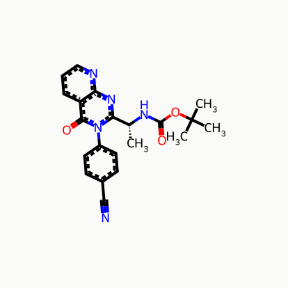 C[C@@H](NC(=O)OC(C)(C)C)c1nc2ncccc2c(=O)n1-c1ccc(C#N)cc1